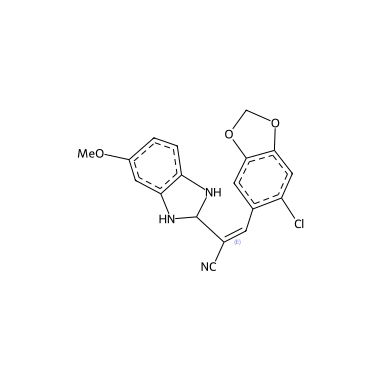 COc1ccc2c(c1)NC(/C(C#N)=C\c1cc3c(cc1Cl)OCO3)N2